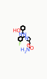 NC(=O)OCC1CCN(c2nc(-c3ccccc3O)nc3ccc(F)cc23)C1